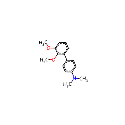 COc1cc[c]c(-c2ccc(N(C)C)cc2)c1OC